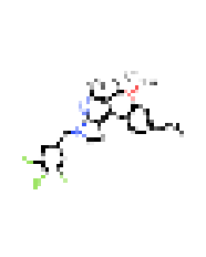 Cc1ccc(-c2c([C@H](OC(C)(C)C)C(=O)O)c(C)nc3c2ccn3Cc2cc(F)c(F)c(F)c2)cc1